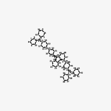 c1ccc(N(c2ccccc2)c2ccc(-c3ccc(-n4c5ccccc5c5c(-c6ccc(N(c7ccccc7)c7ccccc7)cc6)cccc54)cc3)cc2)cc1